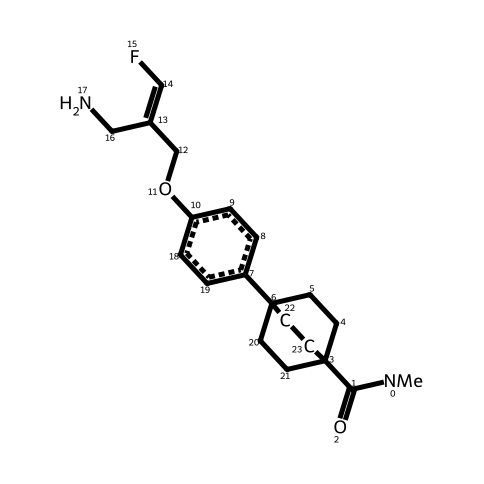 CNC(=O)C12CCC(c3ccc(OCC(=CF)CN)cc3)(CC1)CC2